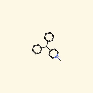 C[n+]1ccc(C(c2ccccc2)c2ccccc2)cc1